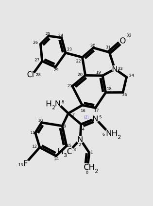 C=CN(C)/C(=N\N)C(N)(c1ccc(F)cc1)c1cc2c3c(c1)c(-c1cccc(Cl)c1)cc(=O)n3CC2